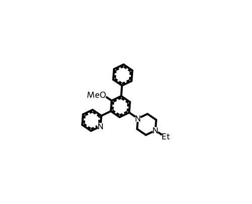 CCN1CCN(c2cc(-c3ccccc3)c(OC)c(-c3ccccn3)c2)CC1